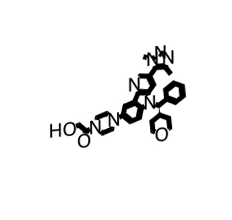 Cc1nnn(C)c1-c1cnc2c3cc(N4CCN(C(=O)CO)CC4)ccc3n([C@H](c3ccccc3)C3CCOCC3)c2c1